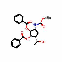 CC(O)[C@H]1C[C@@H](NC(=O)OC(C)(C)C)[C@H](OC(=O)c2ccccc2)[C@@H]1OC(=O)c1ccccc1